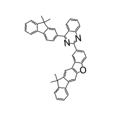 CC1(C)c2ccccc2-c2ccc(-c3nc(-c4ccc5oc6cc7c(cc6c5c4)C(C)(C)c4ccccc4-7)nc4ccccc34)cc21